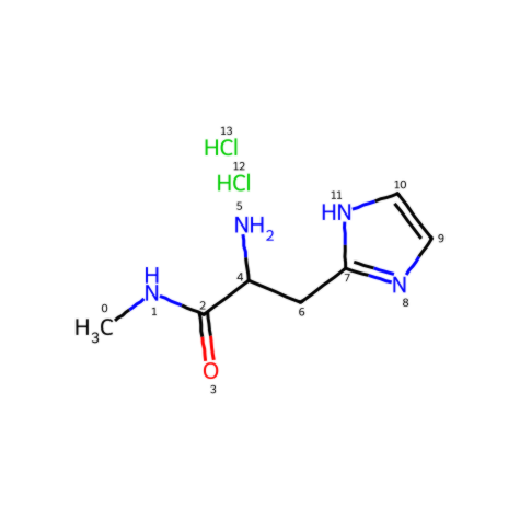 CNC(=O)C(N)Cc1ncc[nH]1.Cl.Cl